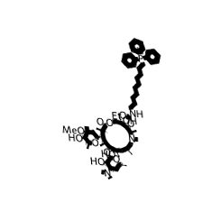 CC[C@H]1OC(=O)[C@H](C)[C@@H](C2C[C@@](C)(OC)[C@@H](O)[C@H](C)O2)[C@H](C)[C@@H](O[C@@H]2O[C@H](C)C[C@H](N(C)C)[C@H]2O)[C@](C)(O)C[C@@H](C)CN(C)[C@H](C)[C@@H](OC(=O)NCCCCCCCCCC[PH](c2ccccc2)(c2ccccc2)c2ccccc2)[C@]1(C)O